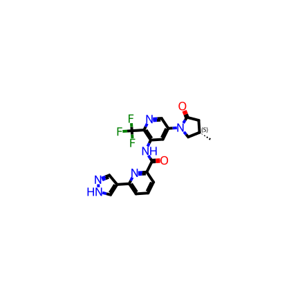 C[C@H]1CC(=O)N(c2cnc(C(F)(F)F)c(NC(=O)c3cccc(-c4cn[nH]c4)n3)c2)C1